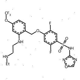 CCNCCNc1cc(OC(F)(F)F)ccc1COc1cc(F)c(S(=O)(=O)Nc2ncon2)cc1F